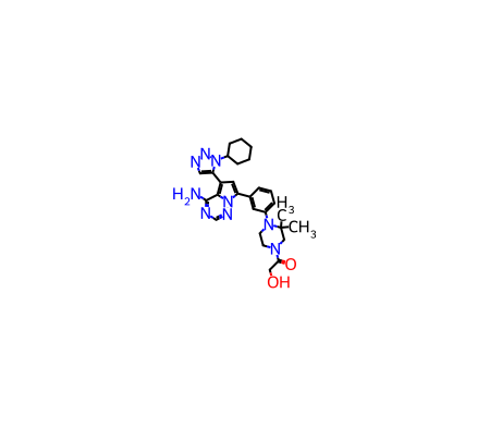 CC1(C)CN(C(=O)CO)CCN1c1cccc(-c2cc(-c3cnnn3C3CCCCC3)c3c(N)ncnn23)c1